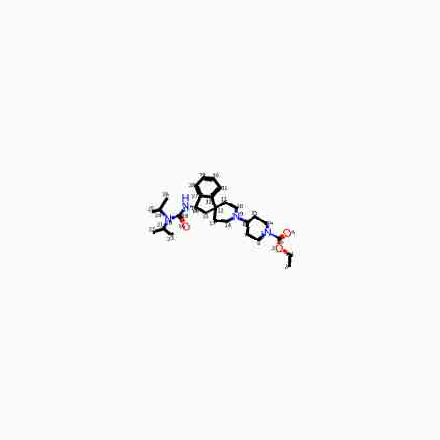 CCOC(=O)N1CCC(N2CCC3(CC2)C[C@H](NC(=O)N(C(C)C)C(C)C)c2ccccc23)CC1